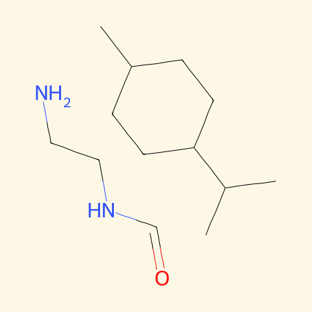 CC1CCC(C(C)C)CC1.NCCNC=O